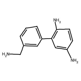 NCc1cccc(-c2cc(N)ccc2N)c1